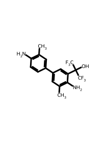 Cc1cc(-c2cc(C)c(N)c(C(O)(C(F)(F)F)C(F)(F)F)c2)ccc1N